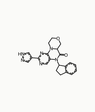 O=C1C2COCCN2c2nc(-c3cn[nH]c3)ncc2N1C1CCc2ccccc21